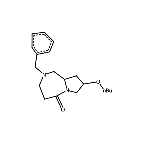 CCCCOC1CC2CN(Cc3ccccc3)CCC(=O)N2C1